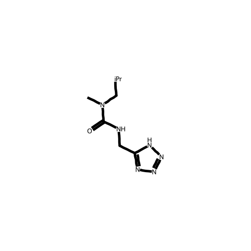 CC(C)CN(C)C(=O)NCc1nnn[nH]1